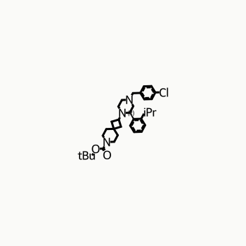 CC(C)c1ccccc1[C@@H]1CN(Cc2ccc(Cl)cc2)CCN1C1CC2(CCN(C(=O)OC(C)(C)C)CC2)C1